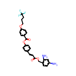 Nc1ccc(COC(=O)C=Cc2ccc(OC(=O)c3ccc(OCCCC(F)(F)F)cc3)cc2)c(N)c1